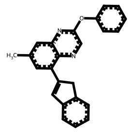 Cc1cc(C2=Cc3ccccc3C2)c2ncc(Oc3ccccc3)nc2c1